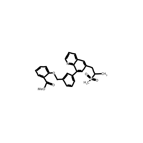 COC(=O)c1ccccc1OCc1cccc(-c2cc(CC(C)S(C)(=O)=O)cc3cccnc23)c1